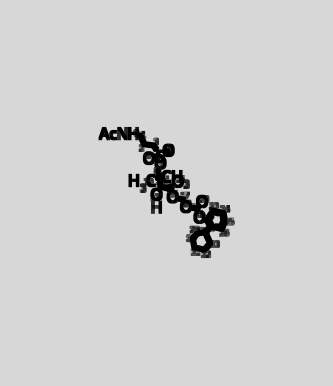 CC(=O)NCCCS(=O)(=O)OCC(C)(C)[C@@H](O)C(=O)OCOC(=O)Oc1ccccc1C1CCCCC1